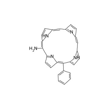 Nc1c2nc(c(-c3ccccc3)c3ccc(cc4nc(cc5ccc1[nH]5)C=C4)[nH]3)C=C2